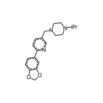 CC(C)N1CCN(Cc2ccc(-c3ccc4c(c3)OCO4)nc2)CC1